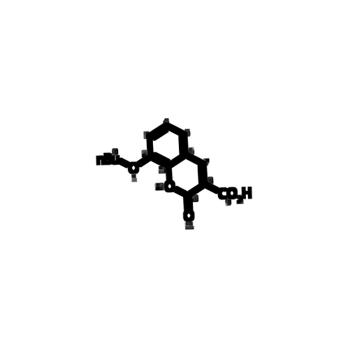 CCCCOc1cccc2cc(C(=O)O)c(=O)oc12